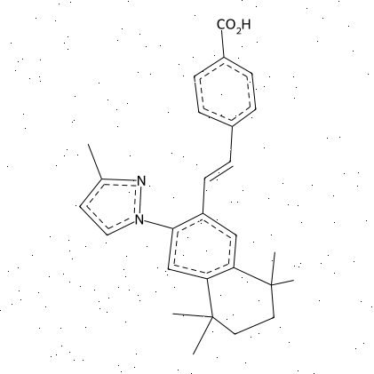 Cc1ccn(-c2cc3c(cc2/C=C/c2ccc(C(=O)O)cc2)C(C)(C)CCC3(C)C)n1